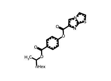 CCCCCCC(C)OC(=O)c1ccc(OC(=O)c2cn3ccsc3n2)cc1